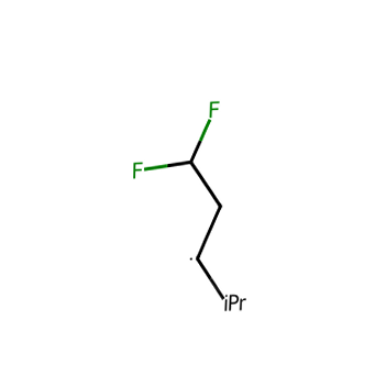 CC(C)[CH]CC(F)F